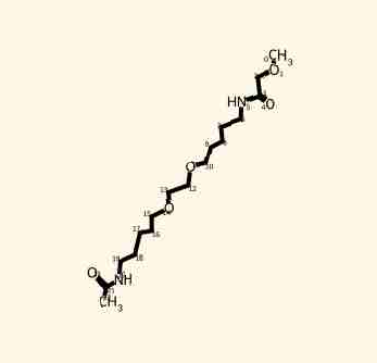 COCC(=O)NCCCCCOCCOCCCCCNC(C)=O